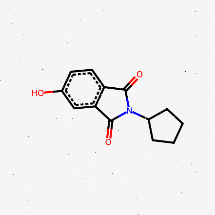 O=C1c2ccc(O)cc2C(=O)N1C1CCCC1